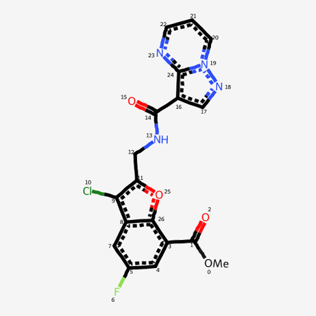 COC(=O)c1cc(F)cc2c(Cl)c(CNC(=O)c3cnn4cccnc34)oc12